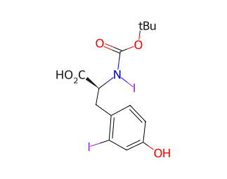 CC(C)(C)OC(=O)N(I)[C@@H](Cc1ccc(O)cc1I)C(=O)O